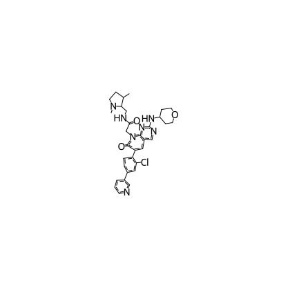 CC1CCN(C)C1CNC(=O)Cn1c(=O)c(-c2ccc(-c3cccnc3)cc2Cl)cc2cnc(NC3CCOCC3)nc21